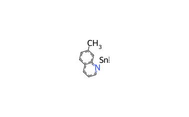 Cc1ccc2cccnc2c1.[Sn]